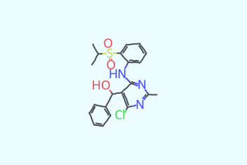 Cc1nc(Cl)c(C(O)c2ccccc2)c(Nc2ccccc2S(=O)(=O)C(C)C)n1